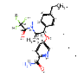 CCc1ccc([C@@H](Oc2ccc(C(N)=O)nc2)C(C)NC(=O)C(F)(F)F)cc1